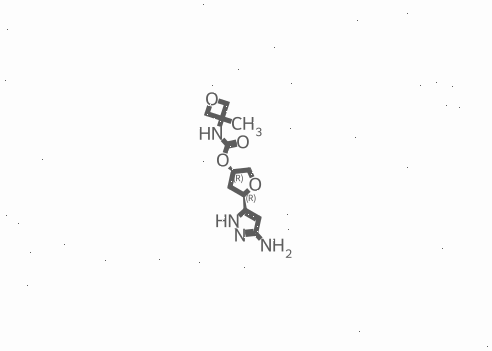 CC1(NC(=O)O[C@H]2CO[C@@H](c3cc(N)n[nH]3)C2)COC1